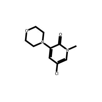 Cn1cc(Cl)cc(N2CCOCC2)c1=O